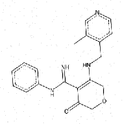 Cc1cnccc1CNC1=C(C(=N)Nc2ccccc2)C(=O)COC1